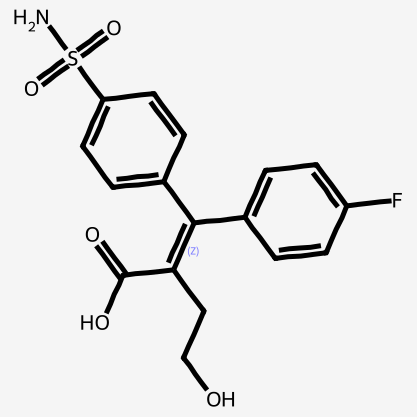 NS(=O)(=O)c1ccc(/C(=C(/CCO)C(=O)O)c2ccc(F)cc2)cc1